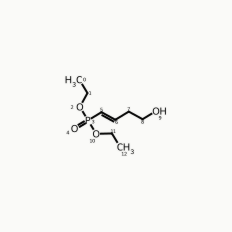 CCOP(=O)(C=CCCO)OCC